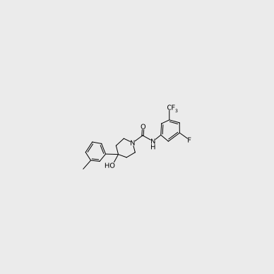 Cc1cccc(C2(O)CCN(C(=O)Nc3cc(F)cc(C(F)(F)F)c3)CC2)c1